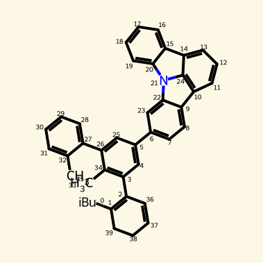 CCC(C)C1=C(c2cc(-c3ccc4c5cccc6c7ccccc7n(c4c3)c65)cc(-c3ccccc3C)c2C)C=CCC1